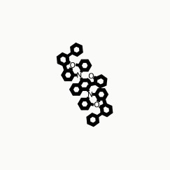 Cc1ccccc1N(c1cccc2c1oc1c(-c3ccccc3)cccc12)c1c2ccccc2c(N(c2ccccc2C)c2cccc3c2oc2c(-c4ccccc4)cccc23)c2c1oc1ccccc12